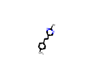 Cc1ccc(/C=C/c2cnc(C(C)C)nc2)cc1